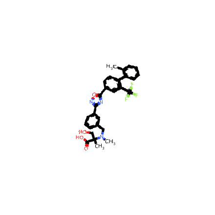 Cc1ccccc1-c1ccc(-c2nc(-c3cccc(CN(C)C(C)(CO)C(=O)O)c3)no2)cc1C(F)(F)F